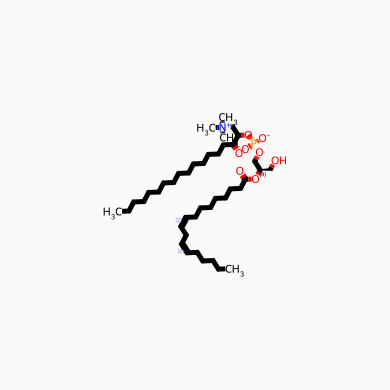 CCCCC/C=C\C/C=C\CCCCCCCC(=O)O[C@H](CO)COP(=O)([O-])OC(C[N+](C)(C)C)C(=O)CCCCCCCCCCCCCCC